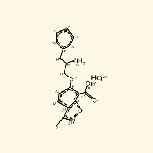 Cc1noc2c(C(=O)O)c(OCC(N)Cc3ccccc3)ccc12.Cl